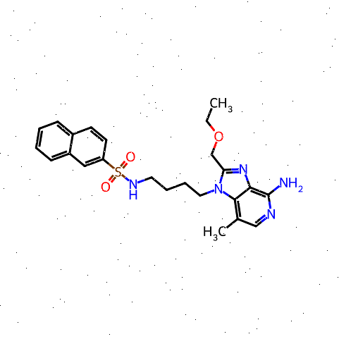 CCOCc1nc2c(N)ncc(C)c2n1CCCCNS(=O)(=O)c1ccc2ccccc2c1